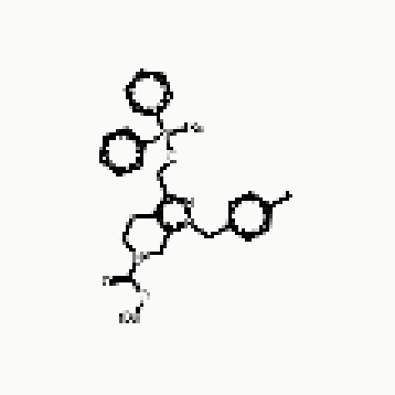 CC(C)(C)OC(=O)N1CCc2c(CO[Si](c3ccccc3)(c3ccccc3)C(C)(C)C)nn(Cc3ccc(F)cc3)c2C1